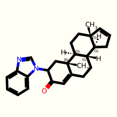 C[C@@]12C=CC[C@H]1[C@@H]1CCC3=CC(=O)C(n4cnc5ccccc54)C[C@]3(C)[C@H]1CC2